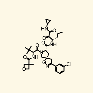 CCC[C@H](NC(=O)[C@@H]1C[C@]2(CC(c3cccc(Cl)c3)=NO2)CN1C(=O)[C@@H](NC(=O)C1(C)COC1)C(C)(C)C)C(=O)C(=O)NC1CC1